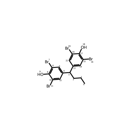 CCCC(c1cc(Br)c(O)c(Br)c1)c1cc(Br)c(O)c(Br)c1